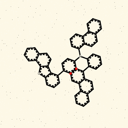 c1ccc(N(c2ccc(-c3cccc4oc5c6ccccc6ccc5c34)cc2)c2cccc3c2ccc2ccccc23)c(-c2cccc3c2ccc2ccccc23)c1